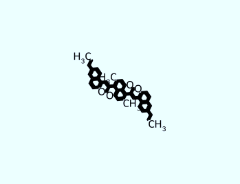 CCCc1ccc2c(ccc3oc(=O)c(-c4c(C)ccc5c(-c6cc7c(ccc8cc(CCC)ccc87)oc6=O)c(C)ccc45)cc32)c1